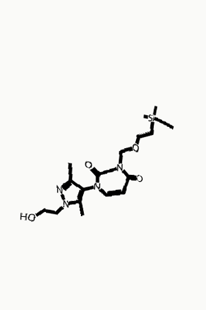 Cc1nn(CCO)c(C)c1-n1ccc(=O)n(COCC[Si](C)(C)C)c1=O